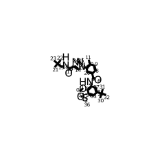 COc1c(NC(=O)c2ccc(C)c(-n3cc(C(=O)NCC(C)(C)C)nn3)c2)cc(C(C)(C)C)cc1[S+](C)[O-]